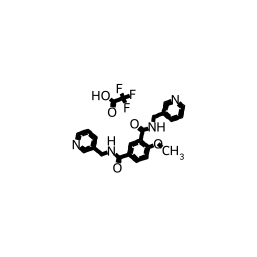 COc1ccc(C(=O)NCc2cccnc2)cc1C(=O)NCc1cccnc1.O=C(O)C(F)(F)F